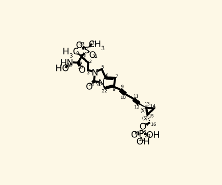 C[C@@](CCN1Cc2cc(C#CC#C[C@H]3C[C@@H]3COP(=O)(O)O)cn2C1=O)(C(=O)NO)S(C)(=O)=O